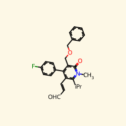 CC(C)c1c(/C=C/C=O)c(-c2ccc(F)cc2)c(COCc2ccccc2)c(=O)n1C